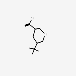 NC(=O)C1CNCC(C(F)(F)F)C1